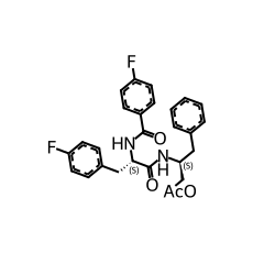 CC(=O)OC[C@H](Cc1ccccc1)NC(=O)[C@H](Cc1ccc(F)cc1)NC(=O)c1ccc(F)cc1